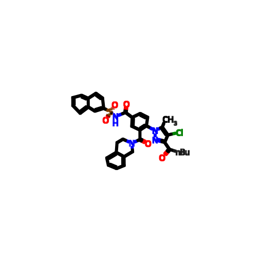 CCCCC(=O)c1nn(-c2ccc(C(=O)NS(=O)(=O)c3ccc4ccccc4c3)cc2C(=O)N2CCc3ccccc3C2)c(C)c1Cl